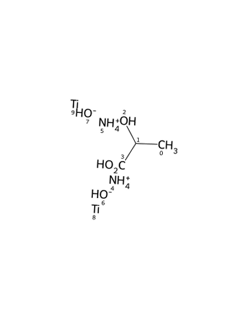 CC(O)C(=O)O.[NH4+].[NH4+].[OH-].[OH-].[Ti].[Ti]